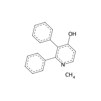 C.Oc1ccnc(-c2ccccc2)c1-c1ccccc1